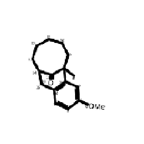 COc1ccc2c(c1)C1(C)CCCCCC(C2)C1=O